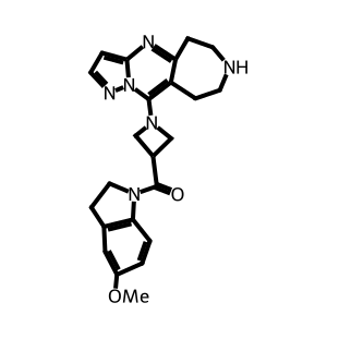 COc1ccc2c(c1)CCN2C(=O)C1CN(c2c3c(nc4ccnn24)CCNCC3)C1